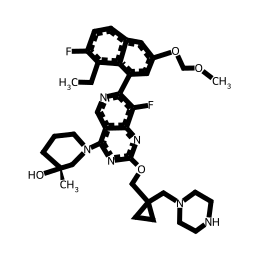 CCc1c(F)ccc2cc(OCOC)cc(-c3ncc4c(N5CCC[C@@](C)(O)C5)nc(OCC5(CN6CCNCC6)CC5)nc4c3F)c12